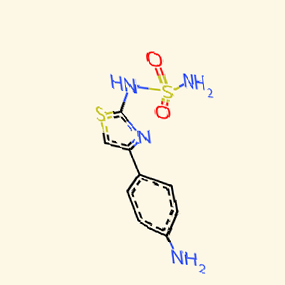 Nc1ccc(-c2csc(NS(N)(=O)=O)n2)cc1